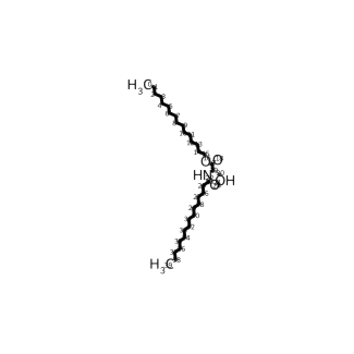 CCCCCCCCCCCCCCCCOC(=O)[C@H](CO)NC(=O)CCCCCCCCCCCCCCC